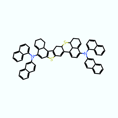 C1=C2C3=CC=C(N(c4ccc5ccccc5c4)c4cccc5ccccc45)C4=CCCC(SC2Cc2c1sc1c2C2CCCC=C2C(N(c2ccc5ccccc5c2)c2cccc5ccccc25)=C1)C34